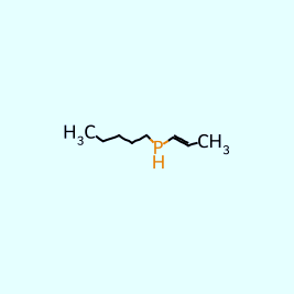 CC=CPCCCCC